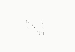 Cc1c(Cl)c(-n2ccnc2C(C)C)nn1C